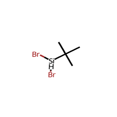 CC(C)(C)[SiH](Br)Br